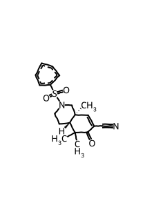 CC1(C)C(=O)C(C#N)=C[C@]2(C)CN(S(=O)(=O)c3ccccc3)CC[C@@H]12